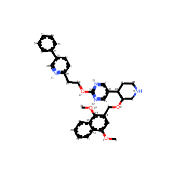 COc1cc(COC2CNCCC2c2cnc(OCCc3ccc(-c4ccccc4)cn3)nc2)c(OC)c2ccccc12